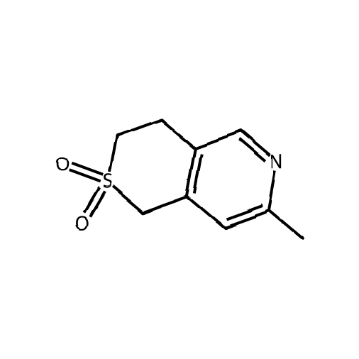 Cc1cc2c(cn1)CCS(=O)(=O)C2